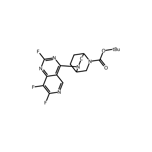 CC(C)(C)OC(=O)N1CC2CCC1CN2c1nc(F)nc2c(F)c(F)ncc12